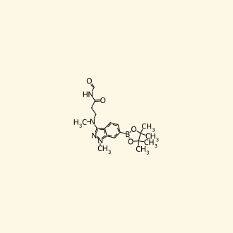 CN(CCC(=O)NC=O)c1nn(C)c2cc(B3OC(C)(C)C(C)(C)O3)ccc12